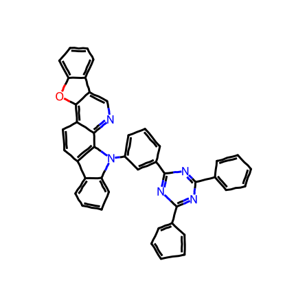 c1ccc(-c2nc(-c3ccccc3)nc(-c3cccc(-n4c5ccccc5c5ccc6c(ncc7c8ccccc8oc76)c54)c3)n2)cc1